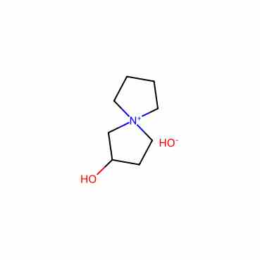 OC1CC[N+]2(CCCC2)C1.[OH-]